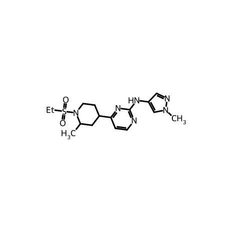 CCS(=O)(=O)N1CCC(c2ccnc(Nc3cnn(C)c3)n2)CC1C